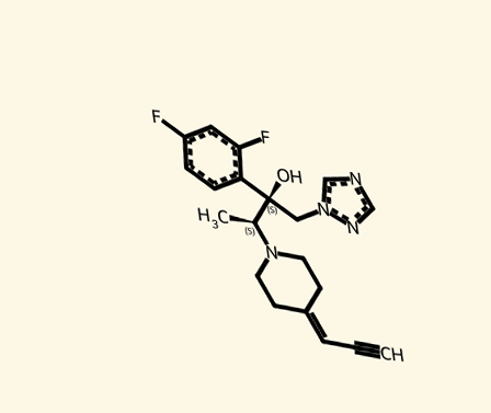 C#CC=C1CCN([C@@H](C)[C@@](O)(Cn2cncn2)c2ccc(F)cc2F)CC1